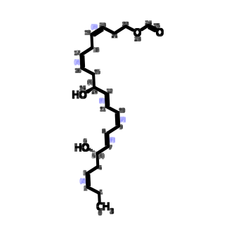 CC/C=C\C[C@H](O)/C=C/C=C\C=C\[C@@H](O)C/C=C\C/C=C\CCOC=O